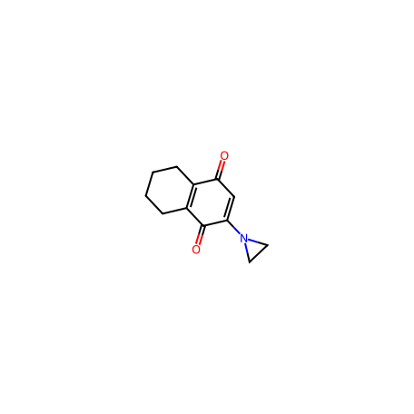 O=C1C=C(N2CC2)C(=O)C2=C1CCCC2